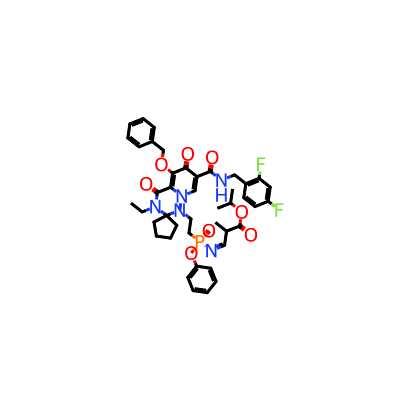 CCN1C(=O)c2c(OCc3ccccc3)c(=O)c(C(=O)NCc3ccc(F)cc3F)cn2N(CCP(=O)(/N=C\C(C)C(=O)OC(C)C)Oc2ccccc2)C12CCCC2